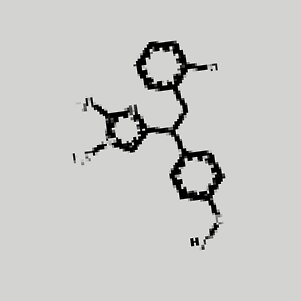 COc1ccc(C(Cc2ccccc2Cl)c2cn(C)c(N)n2)cc1